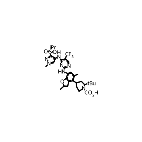 Cc1cc(Nc2ncc(C(F)(F)F)c(Nc3cn(C)nc3S(=O)(=O)C(C)C)n2)c2c(c1C1CCN(C(=O)O)C(C(C)(C)C)C1)CC(C)O2